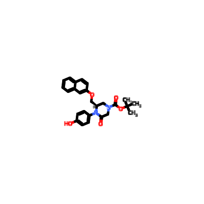 CC(C)(C)OC(=O)N1CC(=O)N(c2ccc(O)cc2)[C@@H](COc2ccc3ccccc3c2)C1